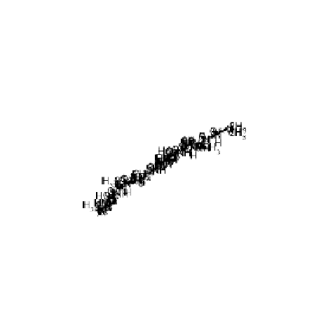 CN(C)CCCNC(=O)CCNC(=O)c1cc(NC(=O)c2cc(NC(=O)c3ccc4nc(-c5nc(NC(=O)CCCNC(=O)c6cc(NC(=O)c7cc(NC(=O)c8ccc9nc(-c%10nccn%10C)[nH]c9c8O)cn7C)cn6C)cn5C)[nH]c4c3O)cn2C)cn1C